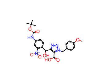 COc1ccc(Cn2nnc(C(O)c3ccc(NC(=O)OC(C)(C)C)cc3[N+](=O)[O-])c2C(=O)O)cc1